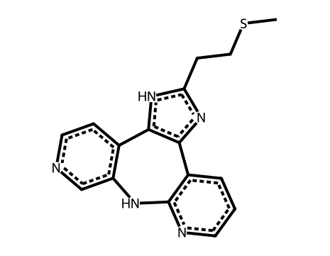 CSCCc1nc2c([nH]1)-c1ccncc1Nc1ncccc1-2